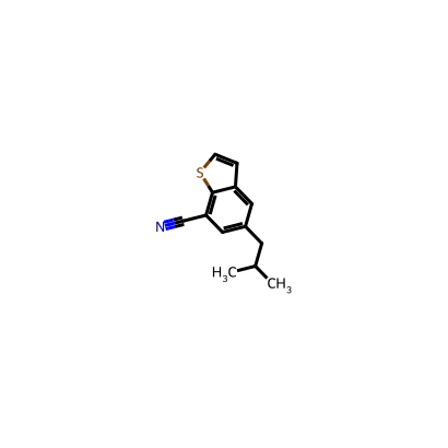 CC(C)Cc1cc(C#N)c2sccc2c1